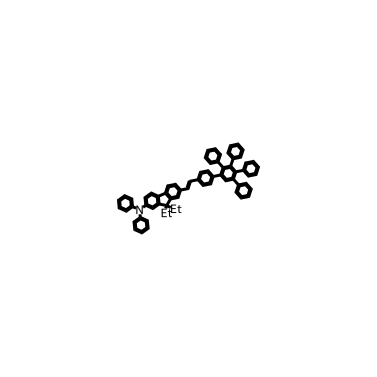 CCC1(CC)c2cc(/C=C/c3ccc(-c4cc(-c5ccccc5)c(-c5ccccc5)c(-c5ccccc5)c4-c4ccccc4)cc3)ccc2-c2ccc(N(c3ccccc3)c3ccccc3)cc21